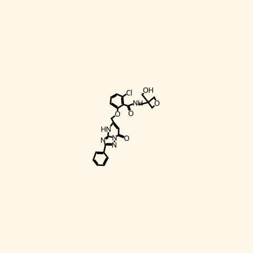 O=C(NCC1(CO)COC1)c1c(Cl)cccc1OCc1cc(=O)n2nc(-c3ccccc3)nc2[nH]1